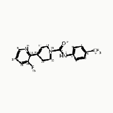 O=C(Nc1ccc(C(F)(F)F)cc1)N1CC=C(c2ncccc2F)CC1